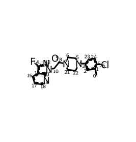 Cc1cc(N2CCN(C(=O)Cn3nc(F)c4cccnc43)CC2)ccc1Cl